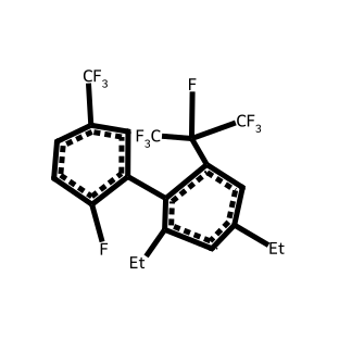 CCc1[c]c(CC)c(-c2cc(C(F)(F)F)ccc2F)c(C(F)(C(F)(F)F)C(F)(F)F)c1